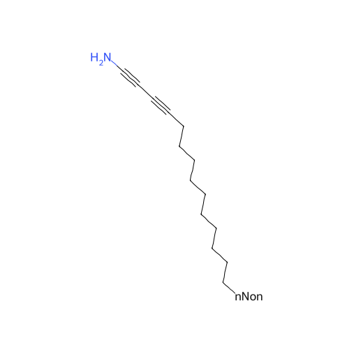 CCCCCCCCCCCCCCCCCCCC#CC#CN